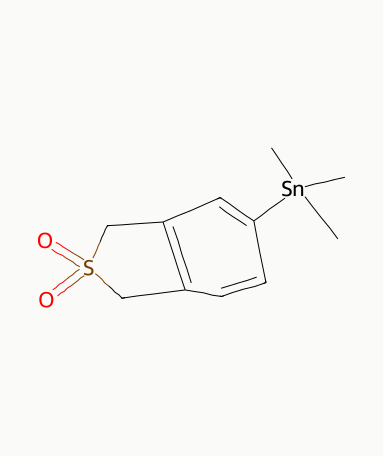 [CH3][Sn]([CH3])([CH3])[c]1ccc2c(c1)CS(=O)(=O)C2